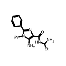 CCC(N)NC(=O)c1nc(-c2ccccc2)n(C(C)C)c1N